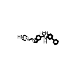 Nc1ccc(-c2ccccc2)cc1NC(=O)c1ccc2c(ccn2CCN2CCNCC2)c1